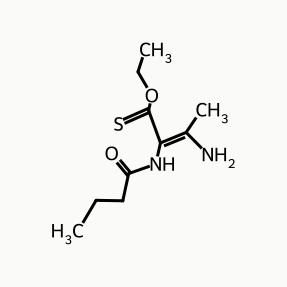 CCCC(=O)NC(C(=S)OCC)=C(C)N